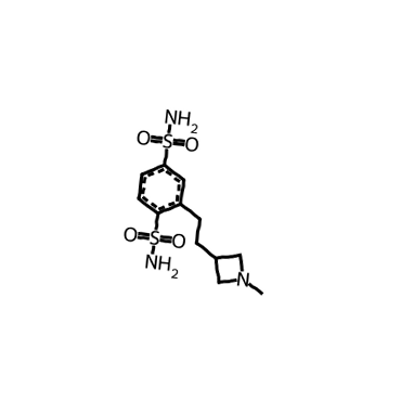 CN1CC(CCc2cc(S(N)(=O)=O)ccc2S(N)(=O)=O)C1